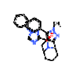 Cn1nc2c(c1-c1ccccc1)CC1CCCC2N1C(=O)c1ncn(-c2ccccc2)n1